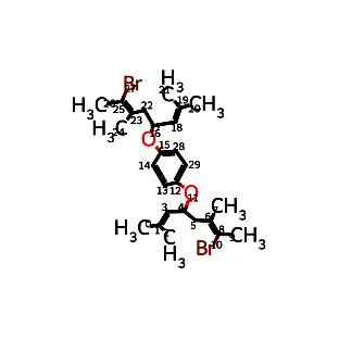 CC(C)=CC(CC(C)=C(C)Br)Oc1ccc(OC(C=C(C)C)CC(C)=C(C)Br)cc1